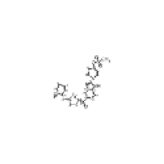 CS(=O)(=O)Oc1ccc(-c2nc3cc(C(=O)N4CCN(Cc5ccccc5F)CC4)ccc3[nH]2)cc1